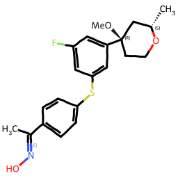 CO[C@]1(c2cc(F)cc(Sc3ccc(/C(C)=N/O)cc3)c2)CCO[C@@H](C)C1